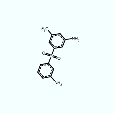 Nc1cccc(S(=O)(=O)c2cc(N)cc(C(F)(F)F)c2)c1